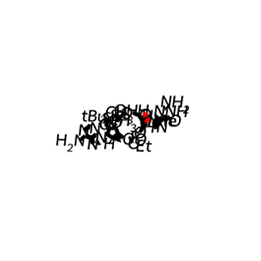 CCOP1(=O)OCC23C[C@@H]2[C@@H](n2cnc4c(N)ncnc42)C(O[Si](C)(C)C(C)(C)C)[C@@H]3OP(O)(=S)OC[C@H]2O[C@@H](n3cnc4c(=O)[nH]c(N)nc43)[C@H](O1)[C@@H]2OC